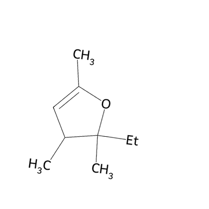 CCC1(C)OC(C)=CC1C